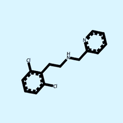 Clc1cccc(Cl)c1CCNCc1ccccn1